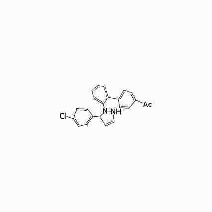 CC(=O)c1ccc(-c2ccccc2N2NC=CC2c2ccc(Cl)cc2)cc1